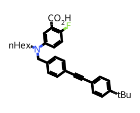 CCCCCCN(Cc1ccc(C#Cc2ccc(C(C)(C)C)cc2)cc1)c1ccc(F)c(C(=O)O)c1